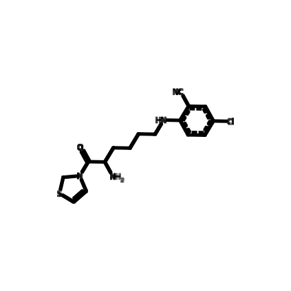 N#Cc1cc(Cl)ccc1NCCCCC(N)C(=O)N1C=CSC1